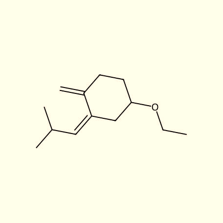 C=C1CCC(OCC)C/C1=C/C(C)C